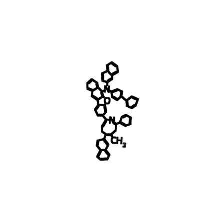 C/C1=C(\c2ccc3ccccc3c2)C/C=C(c2ccc3c(c2)oc2c(N(c4ccc(-c5ccccc5)cc4)c4ccc5ccccc5c4)c4ccccc4cc23)\N=C(\c2ccccc2)C1